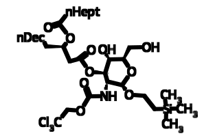 CCCCCCCCCCC[C@H](CC(=O)O[C@H]1[C@H](O)[C@@H](CO)O[C@@H](OCC[Si](C)(C)C)[C@@H]1NC(=O)OCC(Cl)(Cl)Cl)OC(=O)CCCCCCC